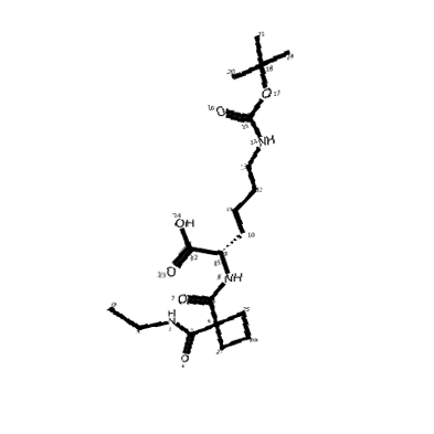 CCNC(=O)C1(C(=O)N[C@@H](CCCCNC(=O)OC(C)(C)C)C(=O)O)CCC1